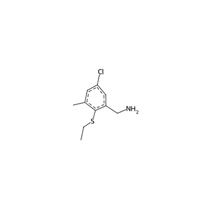 CCSc1c(C)cc(Cl)cc1CN